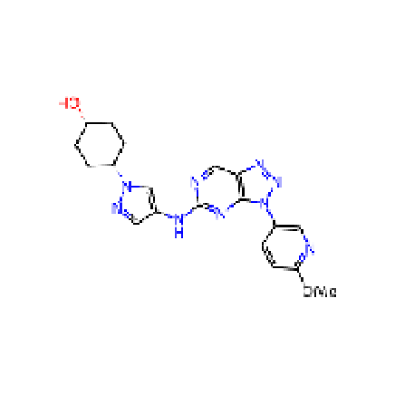 COc1ccc(-n2nnc3cnc(Nc4cnn([C@H]5CC[C@@H](O)CC5)c4)nc32)cn1